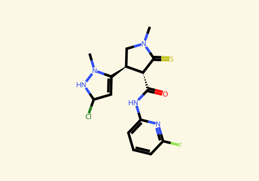 CN1C[C@H](C2=CC(Cl)NN2C)[C@@H](C(=O)Nc2cccc(F)n2)C1=S